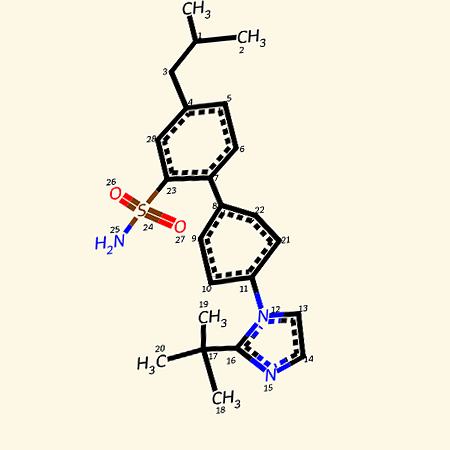 CC(C)Cc1ccc(-c2ccc(-n3ccnc3C(C)(C)C)cc2)c(S(N)(=O)=O)c1